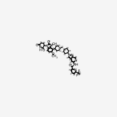 COc1ccc2c(c1C1CCN(C[C@H]3CC[C@H](n4cc5cc(NC(=O)c6cccc(C(F)(F)F)n6)ncc5n4)CC3)CC1)n(C)c(=O)n2[C@@H]1CCC(=O)NC1=O